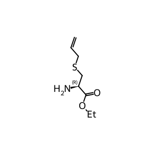 C=CCSC[C@H](N)C(=O)OCC